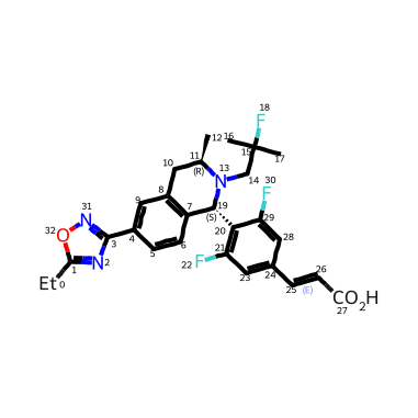 CCc1nc(-c2ccc3c(c2)C[C@@H](C)N(CC(C)(C)F)[C@@H]3c2c(F)cc(/C=C/C(=O)O)cc2F)no1